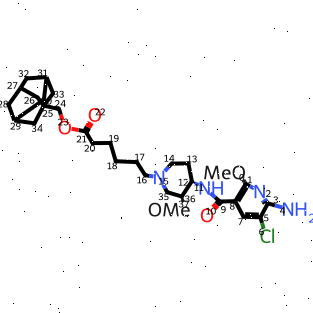 COc1nc(N)c(Cl)cc1C(=O)N[C@@H]1CCN(CCCCCC(=O)OCC23CC4CC(CC(C4)C2)C3)C[C@@H]1OC